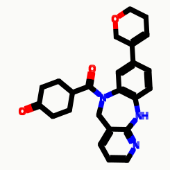 O=C1CCC(C(=O)N2Cc3cccnc3Nc3ccc(C4=CCCOC4)cc32)CC1